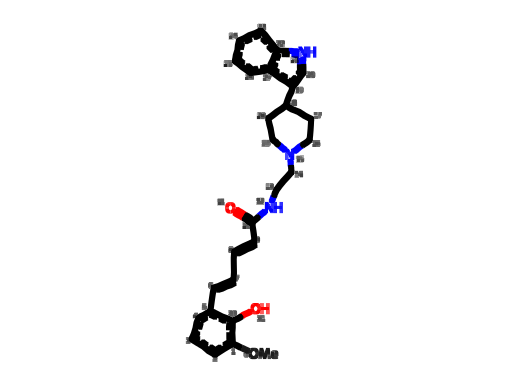 COc1cccc(/C=C/C=C/C(=O)NCCN2CCC(c3c[nH]c4ccccc34)CC2)c1O